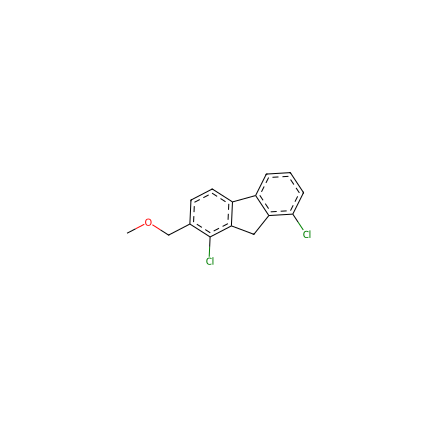 COCc1ccc2c(c1Cl)Cc1c(Cl)cccc1-2